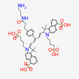 CC1(C)\C(=C/C=C(/C=C/C2N(CCCCS(=O)(=O)O)c3ccc4c(S(=O)(=O)O)cccc4c3C2(C)C)c2ccc(CCC(=O)NCCCN)cc2)N(CCCCS(=O)(=O)O)c2ccc3c(S(=O)(=O)O)cccc3c21